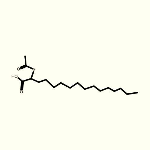 CCCCCCCCCCCCCCC(SC(C)=O)C(=O)O